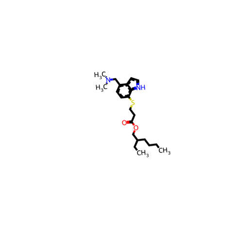 CCCCC(CC)COC(=O)CCSc1ccc(CN(C)C)c2cc[nH]c12